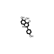 O=c1cc(-c2ccc(O)cc2)[nH]c2ccc(O)c(O)c12